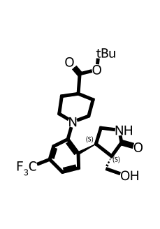 CC(C)(C)OC(=O)C1CCN(c2cc(C(F)(F)F)ccc2[C@H]2CNC(=O)[C@@H]2CO)CC1